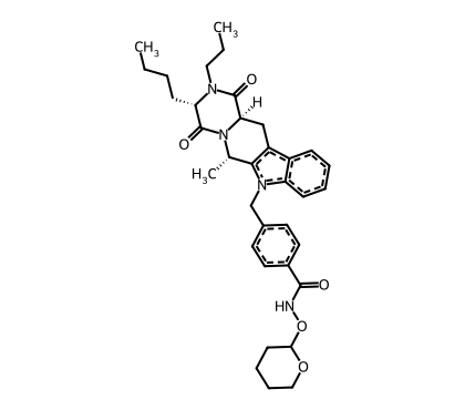 CCCC[C@H]1C(=O)N2[C@H](Cc3c(n(Cc4ccc(C(=O)NOC5CCCCO5)cc4)c4ccccc34)[C@@H]2C)C(=O)N1CCC